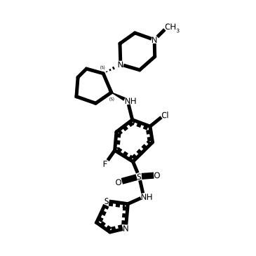 CN1CCN([C@H]2CCCC[C@@H]2Nc2cc(F)c(S(=O)(=O)Nc3nccs3)cc2Cl)CC1